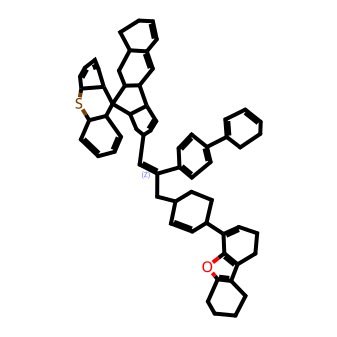 C1=CCCC(c2ccc(/C(=C\C3C=CC4C5C=C6C=CCCC6CC5C5(C6C=CC=CC6SC6C=CC=CC65)C4C3)CC3C=CC(C4=CCCc5c4oc4c5CCCC4)CC3)cc2)=C1